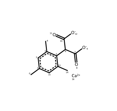 Cc1cc(C)c(C(C(=O)[O-])C(=O)[O-])c(C)c1.[Ca+2]